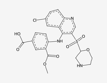 COC(=O)c1cc(C(=O)O)ccc1Nc1c(S(=O)(=O)C2CNCCO2)cnc2ccc(Cl)cc12